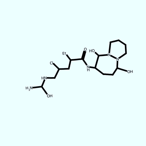 CCC(CC(Cl)CNC(N)O)C(=O)NC1CCC(O)N2CCCCN2C1O